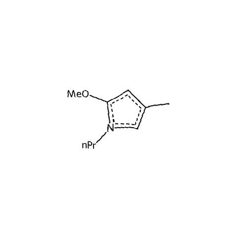 CCCn1cc(C)cc1OC